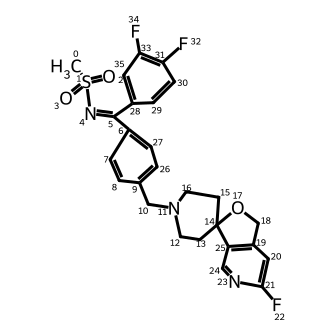 CS(=O)(=O)N=C(c1ccc(CN2CCC3(CC2)OCc2cc(F)ncc23)cc1)c1ccc(F)c(F)c1